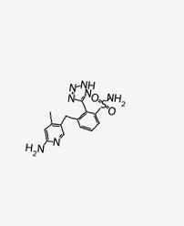 Cc1cc(N)ncc1Cc1cccc(S(N)(=O)=O)c1-c1nn[nH]n1